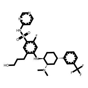 CN(C)[C@H]1C[C@@H](c2cccc(C(F)(F)F)c2)CC[C@@H]1Nc1cc(F)c(S(=O)(=O)Nc2ccncn2)cc1CCCO